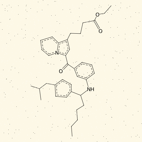 CCCCCC(Nc1cccc(C(=O)c2cc(CCCC(=O)OCC)c3ccccn23)c1)c1ccc(CC(C)C)cc1